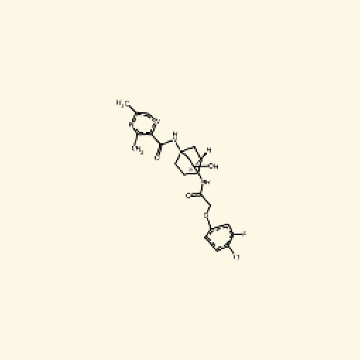 Cc1cnc(C(=O)NC23CCC(NC(=O)COc4ccc(Cl)c(F)c4)(CC2)[C@@H](O)C3)c(C)n1